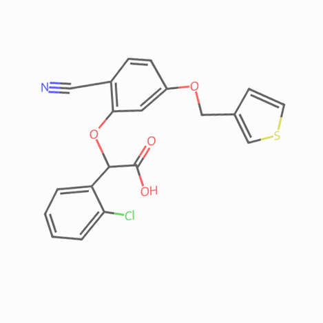 N#Cc1ccc(OCc2ccsc2)cc1OC(C(=O)O)c1ccccc1Cl